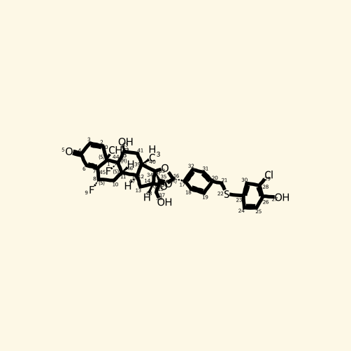 C[C@]12C=CC(=O)C=C1[C@@H](F)C[C@H]1[C@@H]3C[C@H]4O[C@@H](c5ccc(CSc6ccc(O)c(Cl)c6)cc5)O[C@@]4(C(=O)CO)[C@@]3(C)C[C@H](O)[C@@]12F